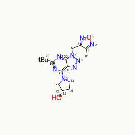 Cc1nonc1Cn1nnc2c(N3CC[C@H](O)C3)nc(C(C)(C)C)nc21